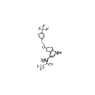 O=C(Nc1c[nH]c2ccc(OCCc3ccc(C(F)(F)F)cc3)cc12)C1CC(F)(F)C1